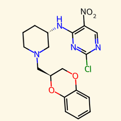 O=[N+]([O-])c1cnc(Cl)nc1N[C@H]1CCCN(C[C@H]2COc3ccccc3O2)C1